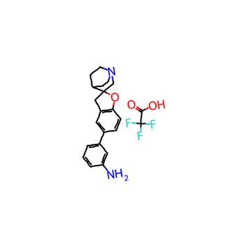 Nc1cccc(-c2ccc3c(c2)CC2(CN4CCC2CC4)O3)c1.O=C(O)C(F)(F)F